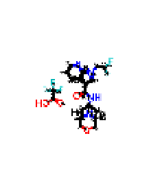 CN1[C@@H]2COC[C@H]1C[C@@H](NC(=O)c1cn(CC(F)F)c3ncccc13)C2.O=C(O)C(F)(F)F